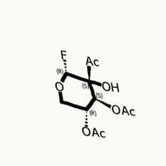 CC(=O)O[C@@H]1CO[C@H](F)[C@@](O)(C(C)=O)[C@H]1OC(C)=O